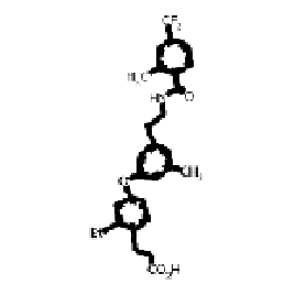 CCc1cc(Oc2cc(C)cc(CCNC(=O)c3ccc(C(F)(F)F)cc3C)c2)ccc1CCC(=O)O